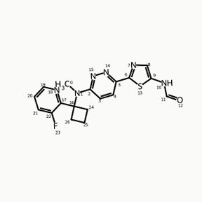 CN(c1ccc(-c2ncc(NC=O)s2)nn1)C1(c2ncccc2F)CCC1